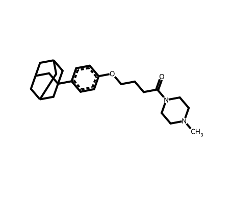 CN1CCN(C(=O)CCCOc2ccc(C34CC5CC(CC(C5)C3)C4)cc2)CC1